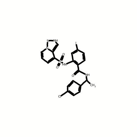 CC(NC(=O)c1ccc(I)cc1NS(=O)(=O)C1=CC=CN2SNC=C12)c1ccc(Cl)cc1